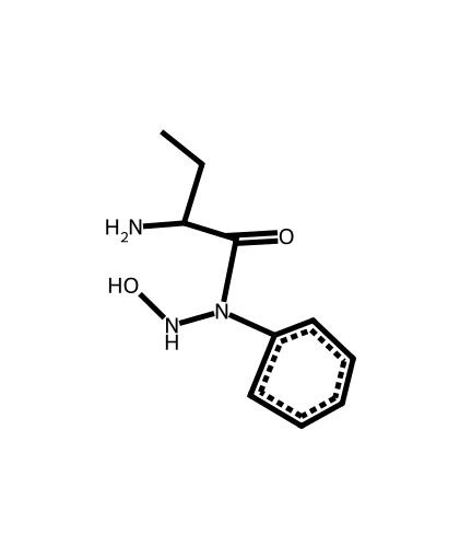 CCC(N)C(=O)N(NO)c1ccccc1